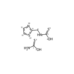 NC(O)=S.OC(=S)NCc1nccs1